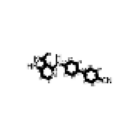 Cc1n[nH]c2ccnc(Nc3ccc(-c4ccc(C#N)cc4)cc3)c12